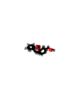 COCC1CC/C(=C/c2ccccc2)C(=O)C1